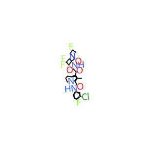 Cc1c(C(=O)C(=O)NC2(C(=O)N3CC(F)C3)CC(F)(F)C2)c2n(c1C(=O)Nc1ccc(F)c(Cl)c1)CCC2